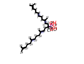 CC(C)=CCC/C=C/CC/C(C)=C/CC(C=O)(C/C=C(\C)CC/C=C(\C)CCC=C(C)C)P(=O)(O)O